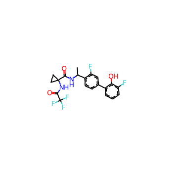 CC(NC(=O)C1(NC(=O)C(F)(F)F)CC1)c1ccc(-c2cccc(F)c2O)cc1F